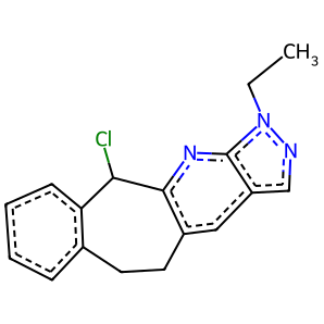 CCn1ncc2cc3c(nc21)C(Cl)c1ccccc1CC3